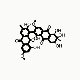 COc1cc(O)c2c(c1)C(=O)c1cc(C)c(O)c(-c3c(OC)cc4c(c3O)C(=O)C3=C(C4=O)[C@@H](O)[C@](C)(O)[C@H](O)C3)c1C2=O